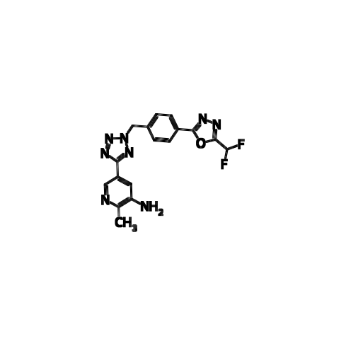 Cc1ncc(-c2nnn(Cc3ccc(-c4nnc(C(F)F)o4)cc3)n2)cc1N